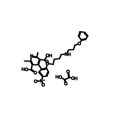 Cc1nc(C)c(C(=O)O)c(-c2cc([N+](=O)[O-])ccc2OCCCCNCCCOc2ccccc2)c1C(=O)O.O=C(O)C(=O)O